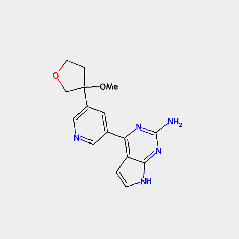 COC1(c2cncc(-c3nc(N)nc4[nH]ccc34)c2)CCOC1